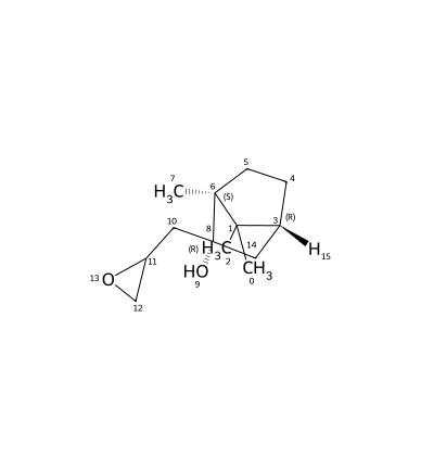 CC1(C)[C@@H]2CC[C@]1(C)[C@](O)(CC1CO1)C2